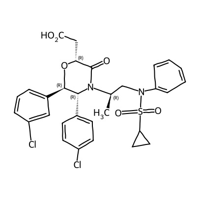 C[C@H](CN(c1ccccc1)S(=O)(=O)C1CC1)N1C(=O)[C@@H](CC(=O)O)O[C@H](c2cccc(Cl)c2)[C@H]1c1ccc(Cl)cc1